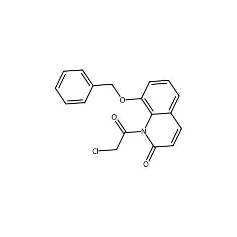 O=C(CCl)n1c(=O)ccc2cccc(OCc3ccccc3)c21